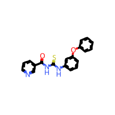 O=C(NC(=S)Nc1cccc(Oc2ccccc2)c1)c1cccnc1